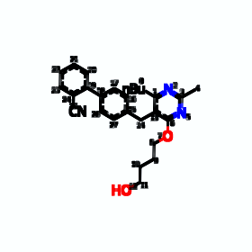 CCCCc1nc(C)nc(OCCCCO)c1Cc1ccc(-c2ccccc2C#N)cc1